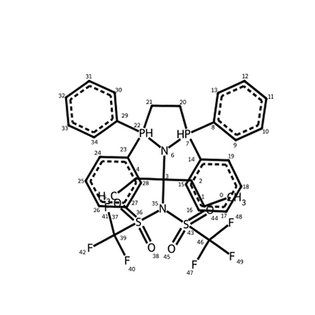 CCCC(CC)(N1[PH](c2ccccc2)(c2ccccc2)CC[PH]1(c1ccccc1)c1ccccc1)N(S(=O)(=O)C(F)(F)F)S(=O)(=O)C(F)(F)F